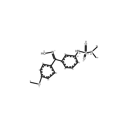 COc1ccc(/C(=N\O)c2cccc(NS(=O)(=O)N(C)C)c2)cc1